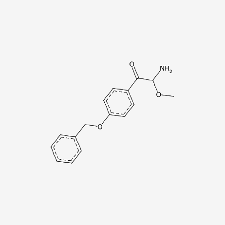 COC(N)C(=O)c1ccc(OCc2ccccc2)cc1